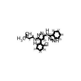 CN(C)CCNc1nnc(Nc2n[nH]c3ccccc23)cc1-c1ccccc1Cl